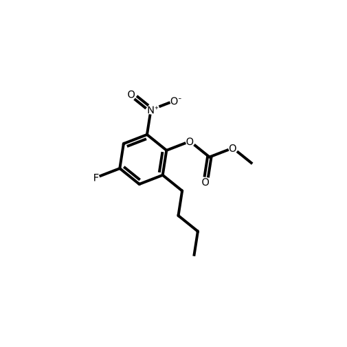 CCCCc1cc(F)cc([N+](=O)[O-])c1OC(=O)OC